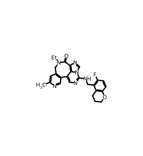 CCN1Cc2cc(C)ncc2-c2cnc(NCc3c(F)ccc4c3CCCO4)n3cnc(c23)C1=O